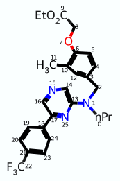 CCCN(Cc1ccc(OCC(=O)OCC)c(C)c1)c1cncc(-c2ccc(C(F)(F)F)cc2)n1